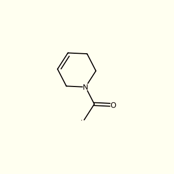 [CH2]C(=O)N1CC=CCC1